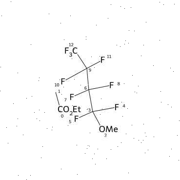 CCOC(C)=O.COC(F)(F)C(F)(F)C(F)(F)C(F)(F)F